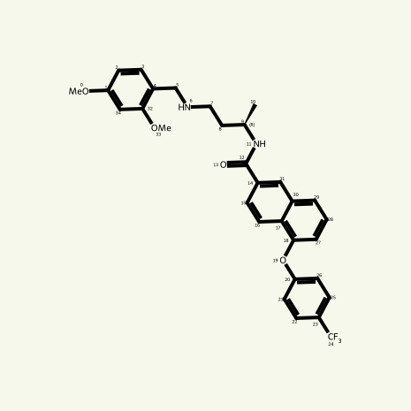 COc1ccc(CNCC[C@@H](C)NC(=O)c2ccc3c(Oc4ccc(C(F)(F)F)cc4)cccc3c2)c(OC)c1